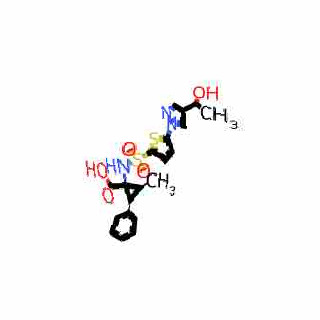 CC(O)c1cnn(-c2ccc(S(=O)(=O)N[C@@]3(C(=O)O)[C@H](C)[C@@H]3c3ccccc3)s2)c1